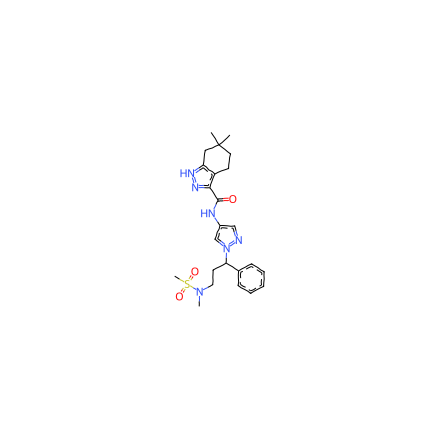 CN(CCC(c1ccccc1)n1cc(NC(=O)c2n[nH]c3c2CCC(C)(C)C3)cn1)S(C)(=O)=O